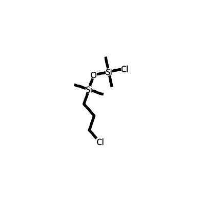 C[Si](C)(Cl)O[Si](C)(C)CCCCl